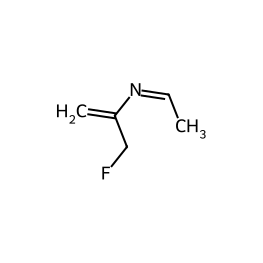 C=C(CF)/N=C\C